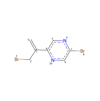 C=C(CBr)c1cnc(Br)cn1